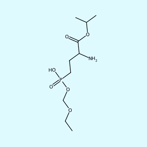 CCOCOP(=O)(O)CCC(N)C(=O)OC(C)C